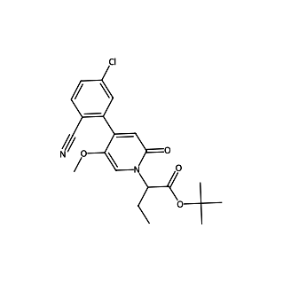 CCC(C(=O)OC(C)(C)C)n1cc(OC)c(-c2cc(Cl)ccc2C#N)cc1=O